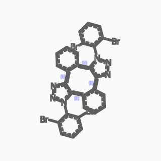 Brc1cccc(Br)c1-n1nnc2/c1=c1/cccc/c1=c1\nnn(-c3c(Br)cccc3Br)\c1=c1/cccc/c1=2